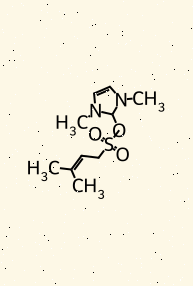 CC(C)=CCS(=O)(=O)OC1N(C)C=CN1C